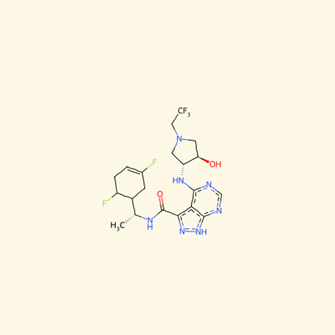 C[C@@H](NC(=O)c1n[nH]c2ncnc(N[C@@H]3CN(CC(F)(F)F)C[C@H]3O)c12)C1CC(F)=CCC1F